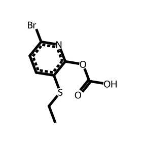 CCSc1ccc(Br)nc1OC(=O)O